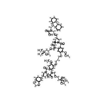 COc1cc2c(cc1OCCCOc1cc3c(cc1OC)C(=O)N1C=C(c4ccc5c(c4)OCO5)C[C@H]1C(=O)N3COCC[Si](C)(C)C)N(COCC[Si](C)(C)C)C(=O)[C@@H]1CC(/C=C/CN(CC3c4ccccc4-c4ccccc43)C(=O)O)=CN1C2=O